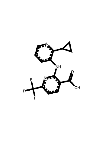 O=C(O)c1ccc(C(F)(F)F)nc1Nc1cccnc1C1CC1